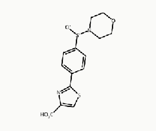 O=C(O)c1csc(-c2ccc([S+]([O-])N3CCOCC3)cc2)n1